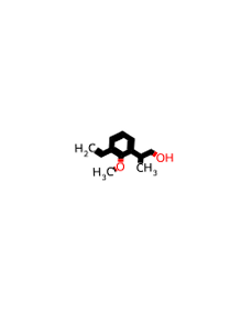 C=Cc1cccc([C](C)CO)c1OC